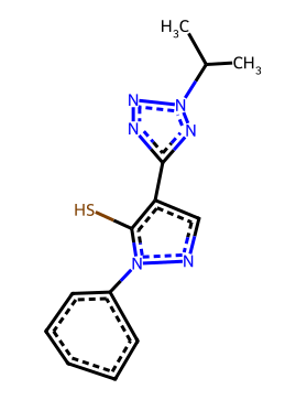 CC(C)n1nnc(-c2cnn(-c3ccccc3)c2S)n1